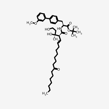 CCCCCCCC(=O)CCCCCC/C=C/[C@H](C(=O)N[C@@H](Cc1ccc(-c2cccc(OC)c2)cc1)C(=O)OC(C)(C)C)[C@@](C)(O)CCO